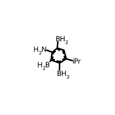 Bc1cc(C(C)C)c(B)c(B)c1N